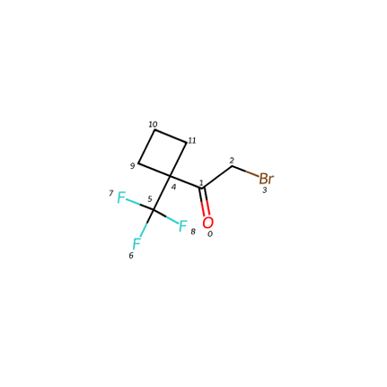 O=C(CBr)C1(C(F)(F)F)CCC1